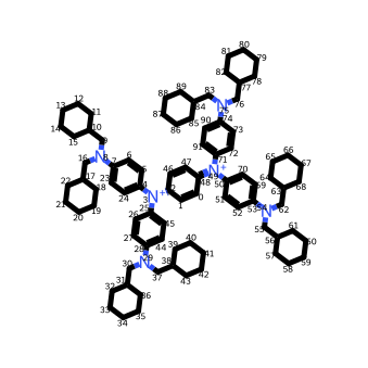 C1=CC(=[N+](c2ccc(N(CC3CCCCC3)CC3CCCCC3)cc2)c2ccc(N(CC3CCCCC3)CC3CCCCC3)cc2)C=CC1=[N+](c1ccc(N(CC2CCCCC2)CC2CCCCC2)cc1)c1ccc(N(CC2CCCCC2)CC2CCCCC2)cc1